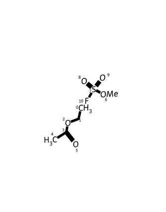 CCOC(C)=O.COS(=O)(=O)F